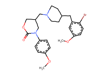 COc1ccc(N2CC(CN3CCC(Cc4cc(OC)ccc4Br)CC3)COC2=O)cc1